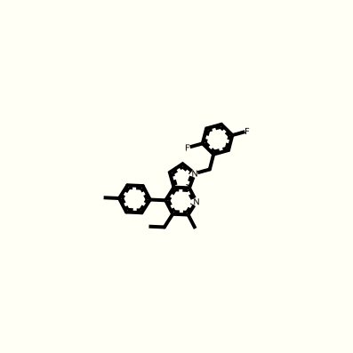 CCc1c(C)nc2c(ccn2Cc2cc(F)ccc2F)c1-c1ccc(C)cc1